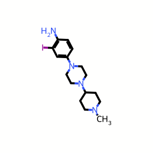 CN1CCC(N2CCN(c3ccc(N)c(I)c3)CC2)CC1